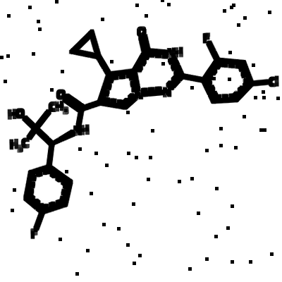 CC(C)(O)[C@@H](NC(=O)c1cn2nc(-c3ccc(Cl)cc3F)[nH]c(=O)c2c1C1CC1)c1ccc(F)cc1